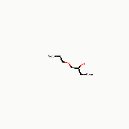 COCCOCC(O)COC